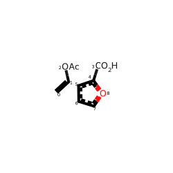 C=COC(C)=O.O=C(O)c1ccco1